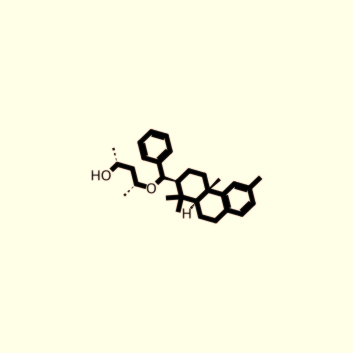 Cc1ccc2c(c1)[C@@]1(C)CC[C@H](C(O[C@H](C)C[C@@H](C)O)c3ccccc3)C(C)(C)[C@@H]1CC2